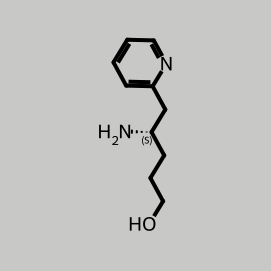 N[C@@H](CCCO)Cc1ccccn1